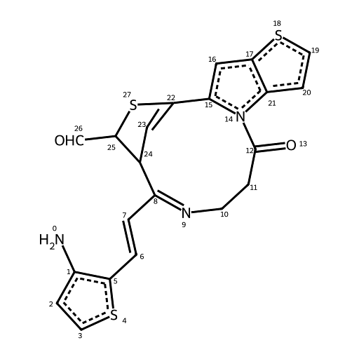 Nc1ccsc1/C=C/C1=N/CCC(=O)n2c(cc3sccc32)C2=CC1C(C=O)S2